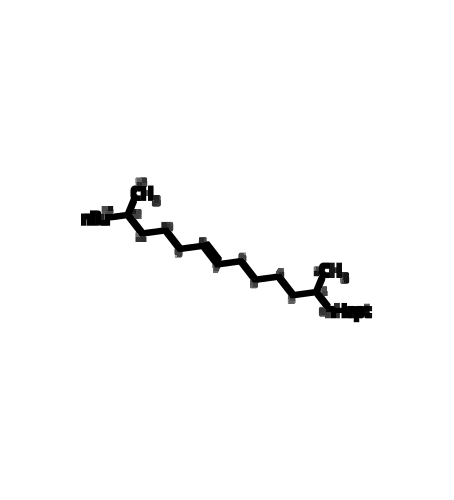 [CH2]CCCCCCC(C)CCCCC=CCCCC(C)CCC[CH2]